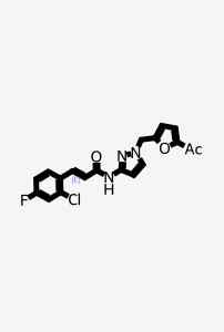 CC(=O)c1ccc(Cn2ccc(NC(=O)/C=C/c3ccc(F)cc3Cl)n2)o1